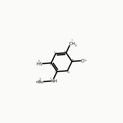 CCCCNC1=C(S)C=C(C)C(Cl)C1